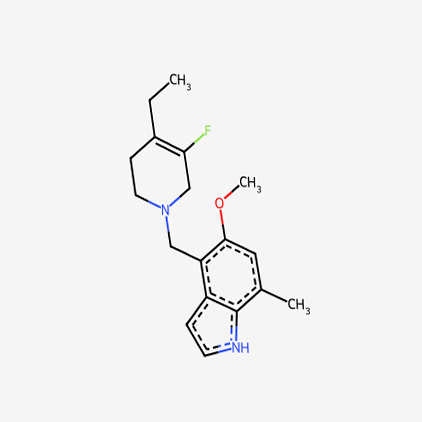 CCC1=C(F)CN(Cc2c(OC)cc(C)c3[nH]ccc23)CC1